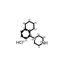 Cl.c1cc2c(c(N3CCNCC3)c1)CCCC2